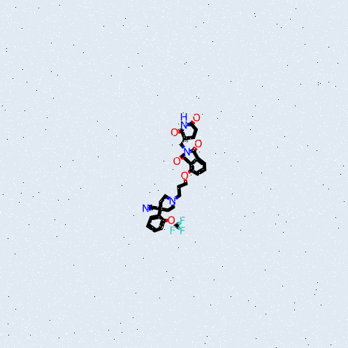 N#CC1(c2ccccc2OC(F)(F)F)CCN(CCCOc2cccc3c2C(=O)N(C[C@@H]2CCC(=O)NC2=O)C3=O)CC1